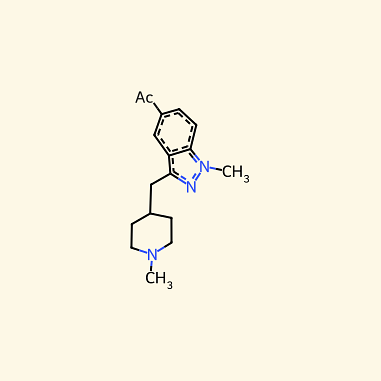 CC(=O)c1ccc2c(c1)c(CC1CCN(C)CC1)nn2C